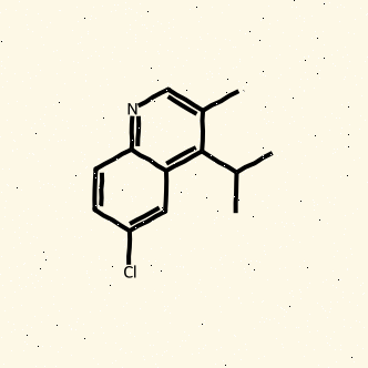 [CH2]c1cnc2ccc(Cl)cc2c1C(C)C